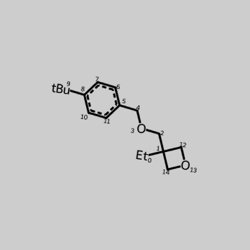 CCC1(COCc2ccc(C(C)(C)C)cc2)COC1